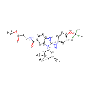 COC(=O)CCNC(=O)c1ccc2nc(Nc3ccc(OC(F)(F)F)cc3)n([C@H]3C[C@@H](C)CC(C)(C)C3)c2c1